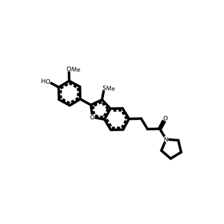 COc1cc(-c2oc3ccc(CCC(=O)N4CCCC4)cc3c2SC)ccc1O